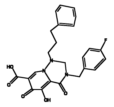 O=C(O)c1cn2c(c(O)c1=O)C(=O)N(Cc1ccc(F)cc1)CN2CCCc1ccccc1